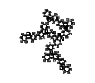 c1cc(-c2ccc3nc(-c4cccc(-n5c6ccccc6c6cc(-c7ccc8c(c7)oc7ccccc78)ccc65)c4)nc(-c4ccc(-n5c6ccccc6c6cc(-c7ccc8c(c7)oc7ccccc78)ccc65)cc4)c3c2)cc(-n2c3ccccc3c3cc(-c4ccc5c(c4)oc4ccccc45)ccc32)c1